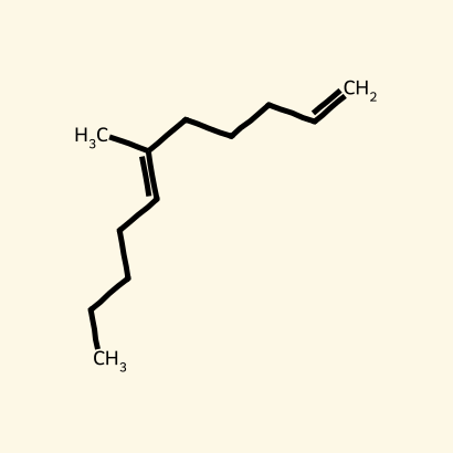 C=CCCCC(C)=CCCCC